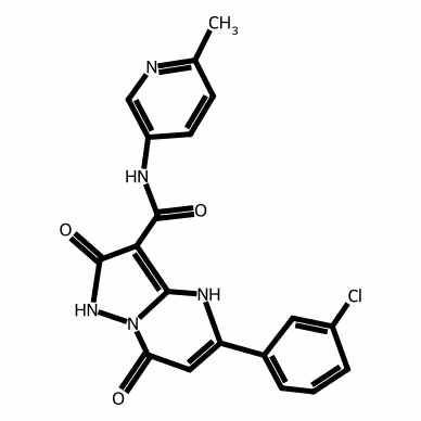 Cc1ccc(NC(=O)c2c(=O)[nH]n3c(=O)cc(-c4cccc(Cl)c4)[nH]c23)cn1